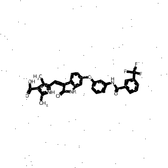 Cc1[nH]c(/C=C2\C(=O)Nc3cc(Oc4cccc(NC(=O)c5cccc(C(F)(F)F)c5)c4)ccc32)c(C)c1C(=O)O